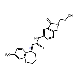 O=C(/C=C1\CCCOc2cc(C(F)(F)F)ccc21)Nc1ccc2c(c1)C(=O)N(CCO)C2